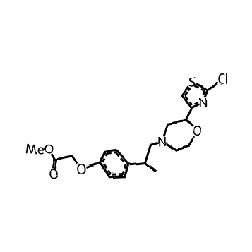 COC(=O)COc1ccc(C(C)CN2CCOC(c3csc(Cl)n3)C2)cc1